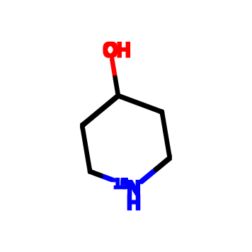 OC1CC[15NH]CC1